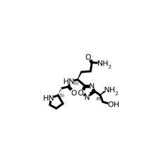 NC(=O)CC[C@H](NC(=O)C[C@@H]1CCCN1)c1nc([C@@H](N)CO)no1